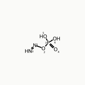 N=NOP(=O)(O)O